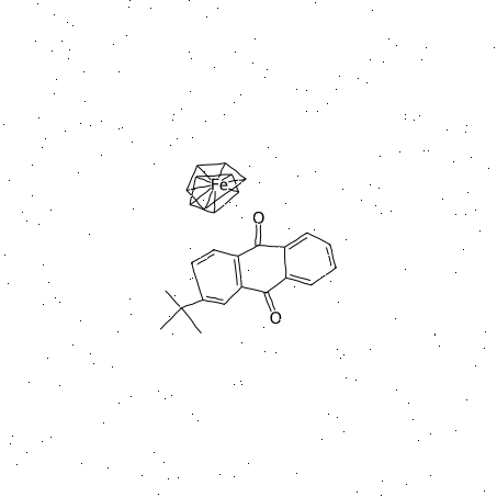 CC(C)(C)c1ccc2c(c1)C(=O)c1ccccc1C2=O.[CH]12[CH]3[CH]4[CH]5[CH]1[Fe]23451678[CH]2[CH]1[CH]6[CH]7[CH]28